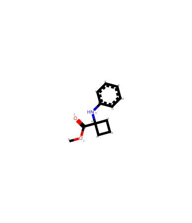 COC(=O)C1(Nc2ccccc2)CCC1